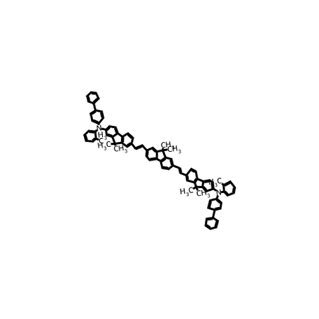 Cc1ccccc1N(c1ccc(-c2ccccc2)cc1)c1ccc2c(c1)C(C)(C)c1cc(/C=C/c3ccc4c(c3)C(C)(C)c3cc(/C=C/c5ccc6c(c5)C(C)(C)c5cc(N(c7ccc(-c8ccccc8)cc7)c7ccccc7C)ccc5-6)ccc3-4)ccc1-2